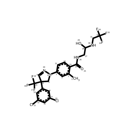 Cc1cc(N2CC(c3cc(Cl)cc(Cl)c3)(C(F)(F)F)C=N2)ccc1C(=O)NCC(O)NCC(F)(F)F